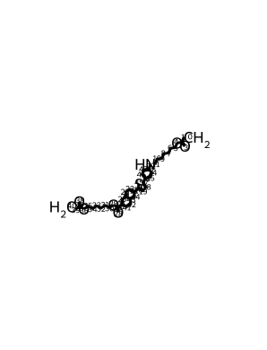 C=CC(=O)OCCCCCCCNc1ccc(-c2ccc(-c3ccc4cc(C(=O)OCCCCCCOC(=O)C=C)ccc4c3)s2)cc1